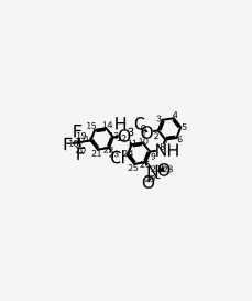 COc1ccccc1Nc1cc(Oc2ccc(C(F)(F)F)cc2Cl)ccc1[N+](=O)[O-]